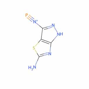 Nc1nc2[nH]nc([N+]#P)c2s1